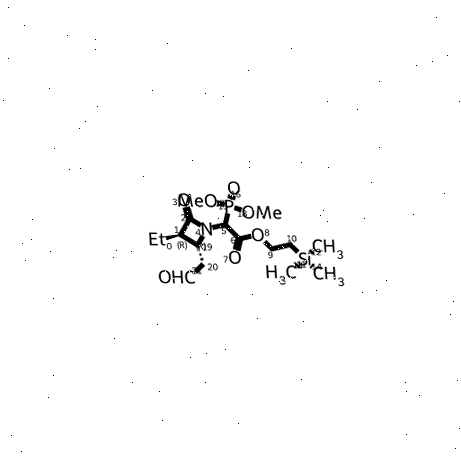 CC[C@H]1C(=O)N(C(C(=O)OCC[Si](C)(C)C)P(=O)(OC)OC)[C@@H]1CC=O